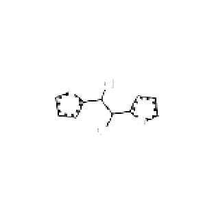 ClC(c1ccco1)C(Cl)c1cccs1